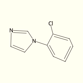 Clc1ccccc1-n1ccnc1